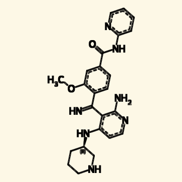 COc1cc(C(=O)Nc2ccccn2)ccc1C(=N)c1c(N[C@@H]2CCCNC2)ccnc1N